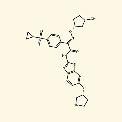 O=C(Nc1nc2ccc(O[C@@H]3CCNC3)nc2s1)/C(=N/O[C@@H]1CC[C@@H](O)C1)c1ccc(S(=O)(=O)C2CC2)cc1